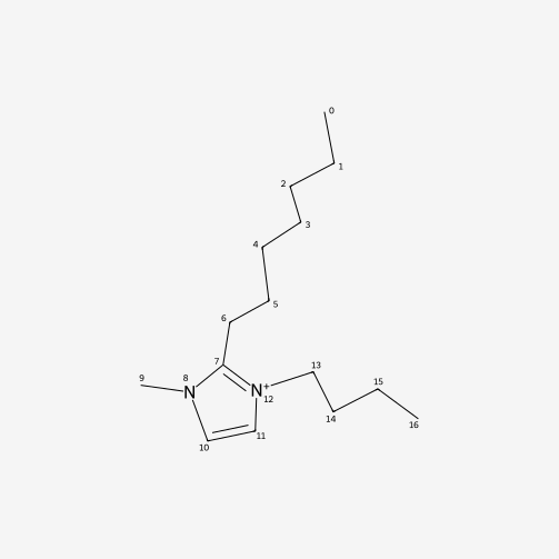 CCCCCCCc1n(C)cc[n+]1CCCC